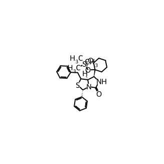 C[Si](C)(C)OC1([C@H]2NC(=O)N3[C@H](c4ccccc4)SC(Cc4ccccc4)[C@@H]23)CCCCC1=O